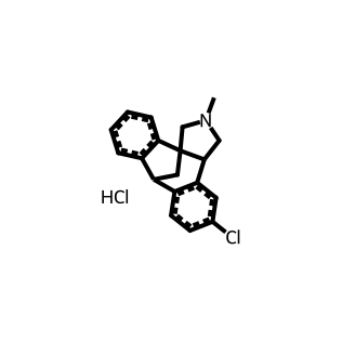 CN1CC2c3cc(Cl)ccc3C3CC2(C1)c1ccccc13.Cl